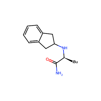 CCC(C)[C@H](NC1Cc2ccccc2C1)C(N)=O